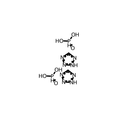 O=[PH](O)O.O=[PH](O)O.c1nn[nH]n1.c1nn[nH]n1